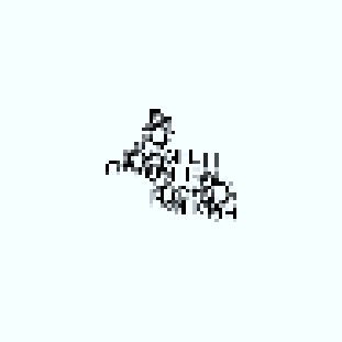 N[C@@H](C(=O)Nc1cncc(F)c1CCC1CNC2CCCS(O)(O)N1C2)[C@@H](c1ccc(Cl)cc1)C1CCC(F)(F)CC1